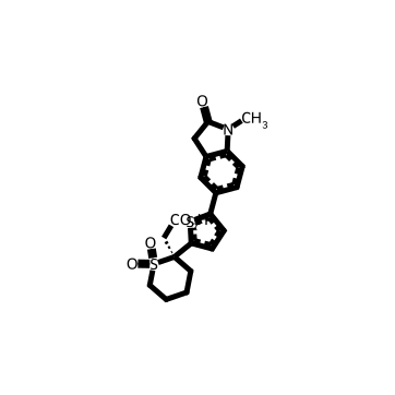 CN1C(=O)Cc2cc(-c3ccc([C@@]4(CC(=O)O)CCCCS4(=O)=O)s3)ccc21